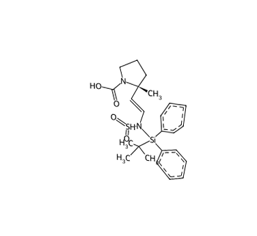 CC(C)(C)[Si](c1ccccc1)(c1ccccc1)N(/C=C/[C@@]1(C)CCCN1C(=O)O)[SH](=O)=O